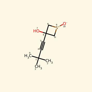 CC(C)(C)C#CC1(O)C[S+]([O-])C1